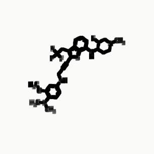 COc1cc(NCC#Cc2sc3c(NC4CCN(C)CC4F)cccc3c2CC(F)(F)F)ccc1P(C)C